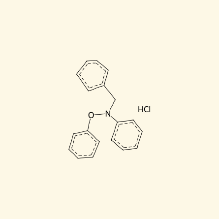 Cl.c1ccc(CN(Oc2ccccc2)c2ccccc2)cc1